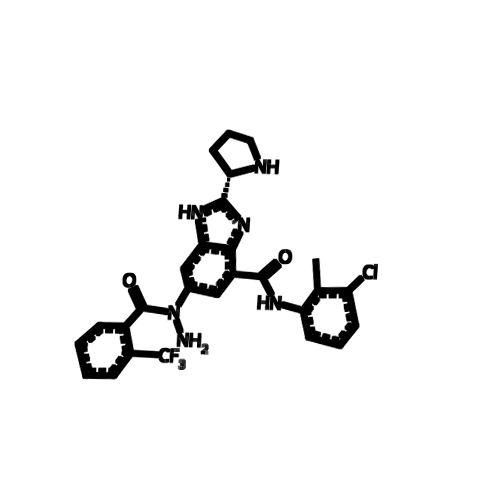 Cc1c(Cl)cccc1NC(=O)c1cc(N(N)C(=O)c2ccccc2C(F)(F)F)cc2[nH]c([C@@H]3CCCN3)nc12